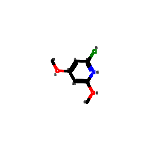 COc1cc(Cl)nc(OC)c1